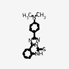 CN(C)c1ccc(-c2nc3c4ccccc4[nH]c(=S)n3n2)cc1